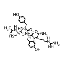 CC(=O)N[C@@H](CS)C(=O)N[C@@H](Cc1ccc(O)cc1)C(=O)N[C@@H](Cc1ccc(O)cc1)C(=O)N[C@@H](CCCNC(=N)N)C(N)=O